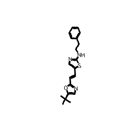 CC(C)(C)c1cnc(/C=C/c2cnc(NCCc3ccccc3)s2)o1